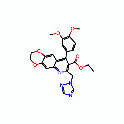 CCOC(=O)c1c(Cn2cncn2)nc2cc3c(cc2c1-c1ccc(OC)c(OC)c1)OCCO3